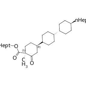 CCCCCCCOC(=O)[C@@]1(C)CC[C@@H](C2CCC([C@H]3CC[C@H](CCCCCCC)CC3)CC2)CC1=O